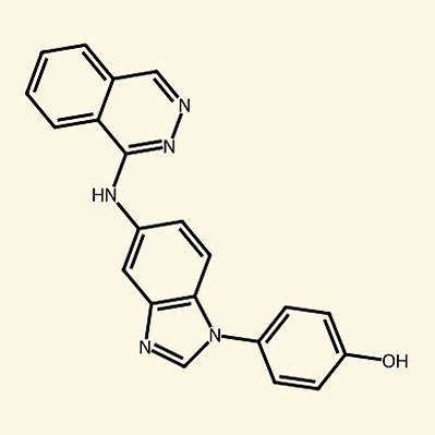 Oc1ccc(-n2cnc3cc(Nc4nncc5ccccc45)ccc32)cc1